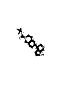 CC(C)(C)OC(=O)N1CCc2cc(-c3cncc4[nH]ccc34)ccc2C1